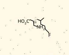 CC(CCCCF)C[C@H](CN)CC(=O)O